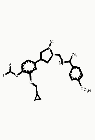 CC(=O)N1CC(c2ccc(OC(F)F)c(OCC3CC3)c2)C[C@@H]1CNC(O)c1ccc(C(=O)O)cc1